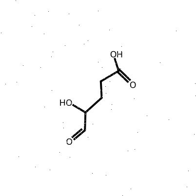 O=CC(O)CCC(=O)O